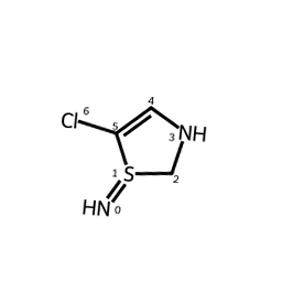 N=S1CNC=C1Cl